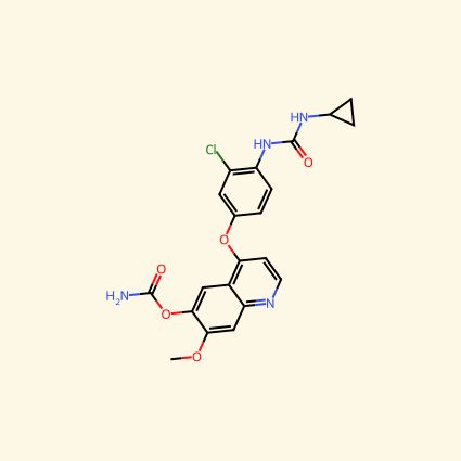 COc1cc2nccc(Oc3ccc(NC(=O)NC4CC4)c(Cl)c3)c2cc1OC(N)=O